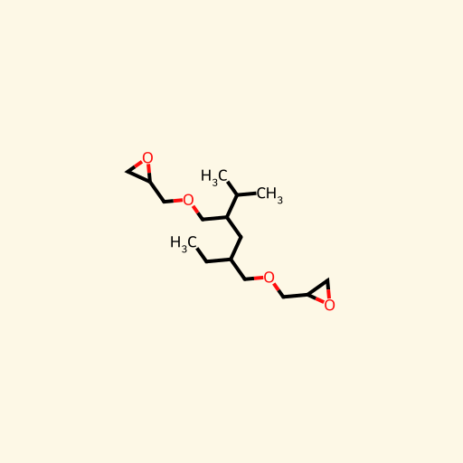 CCC(COCC1CO1)CC(COCC1CO1)C(C)C